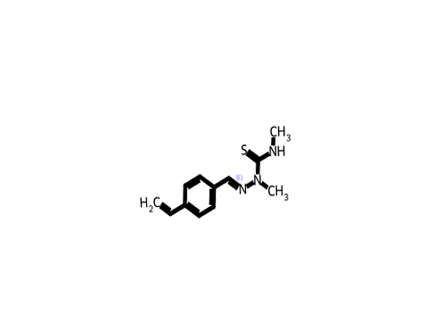 C=Cc1ccc(/C=N/N(C)C(=S)NC)cc1